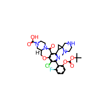 CN1CCNCC12CC2c1nc(-c2c(F)cccc2OC(=O)OC(C)(C)C)c(Cl)c2c1C(=O)N1CCN(C(=O)O)C[C@@H]1CO2